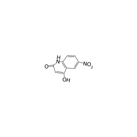 O=c1cc(O)c2cc([N+](=O)[O-])ccc2[nH]1